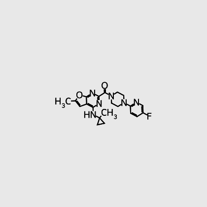 Cc1cc2c(NC3(C)CC3)nc(C(=O)N3CCN(c4ccc(F)cn4)CC3)nc2o1